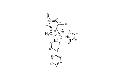 C[C@@H](N1CCC(c2ccccn2)CC1)[C@](O)(Cn1cncn1)c1ccc(F)cc1F